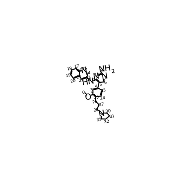 COc1cc(-c2cnc(N)nc2Nc2cnc3ccccc3c2)ccc1CCCN1CCCC1